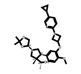 COc1ccc([C@@H]2CN([C@@H]3COC(C)(C)O3)C[C@@]2(C)[C@@H](C)O)cc1OC1CN(c2ccc(C3CC3)cn2)C1